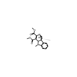 COC(=O)C1=C(C(=O)OC)C2N(C)c3ccccc3[C@@]23C[C@@H](C)NC3=N1